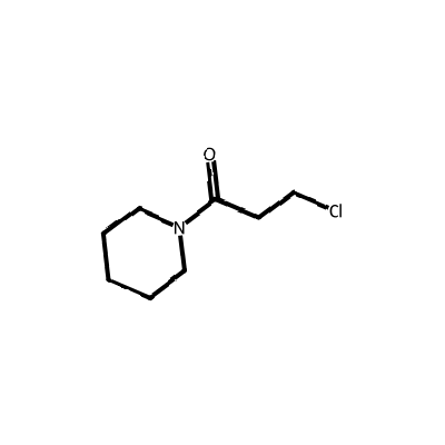 O=C(CCCl)N1CCCCC1